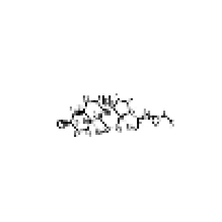 CCO/N=C(\C)[C@H]1CCC2[C@@H]3CCC4=CC(=O)CC[C@]4(C)C3CC[C@@]21C